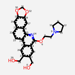 OCc1cc2c(OCCN3CCCC3)nc3c4cc5c(cc4ccc3c2cc1CO)OCO5